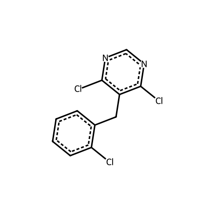 Clc1ccccc1Cc1c(Cl)ncnc1Cl